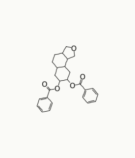 O=C(OC1CC2CCC3COCC3C2CC1OC(=O)c1ccccc1)c1ccccc1